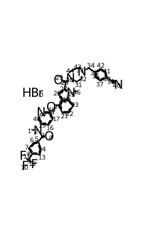 Br.CN(C(=O)c1ccc(C(F)(F)F)cc1)c1ccc(Oc2cccc3c2cc(C(=O)N2CCN(Cc4ccc(C#N)cc4)CC2)n3C)nc1